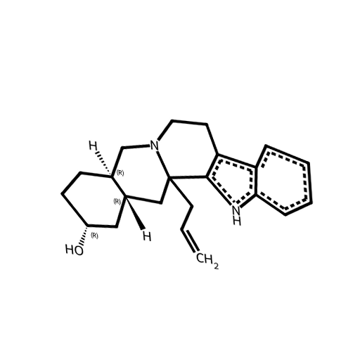 C=CCC12C[C@@H]3C[C@H](O)CC[C@H]3CN1CCc1c2[nH]c2ccccc12